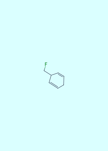 FCC1C=CCC=C1